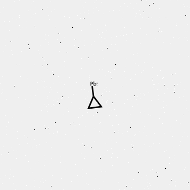 [Pb][CH]1CC1